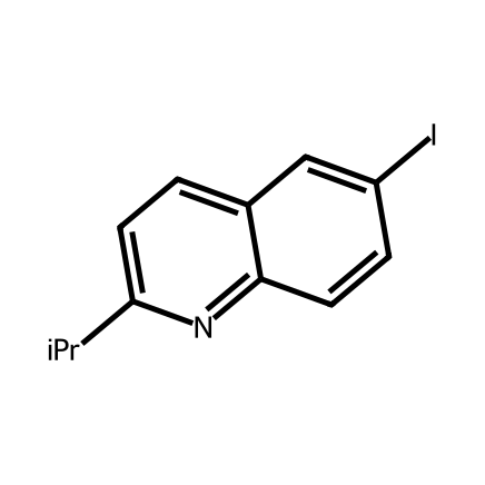 CC(C)c1ccc2cc(I)ccc2n1